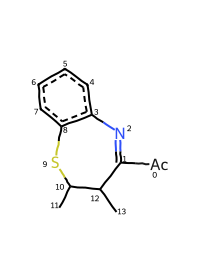 CC(=O)C1=Nc2ccccc2SC(C)C1C